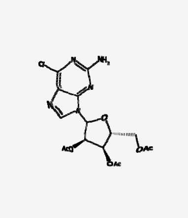 CC(=O)OC[C@H]1OC(n2cnc3c(Cl)nc(N)nc32)[C@H](OC(C)=O)[C@@H]1OC(C)=O